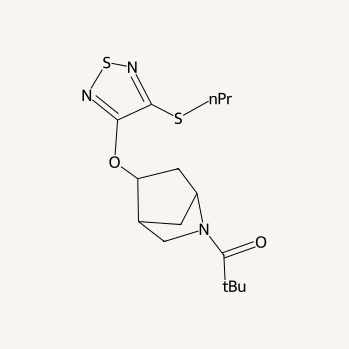 CCCSc1nsnc1OC1CC2CC1CN2C(=O)C(C)(C)C